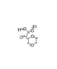 C1COCCO1.CCOC(CCl)OCC